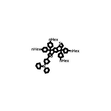 CCCCCCc1ccc(C2(c3ccc(CCCCCC)cc3)c3cc4c(cc3-c3sccc32)C(c2ccc(CCCCCC)cc2)(c2ccc(CCCCCC)cc2)c2cc(-c3ccc(N(c5ccccc5)c5ccccc5)cc3)sc2-4)cc1